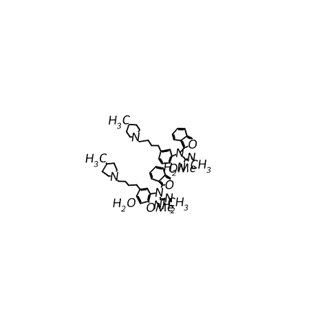 CN=C(N)N(c1cc(CCCCN2CCC(C)CC2)ccc1OC)c1occ2ccccc12.CN=C(N)N(c1cc(CCCCN2CCC(C)CC2)ccc1OC)c1occ2ccccc12.O